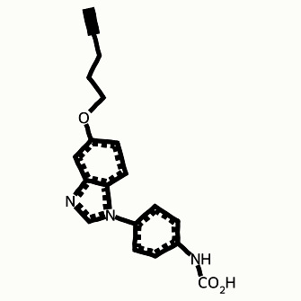 C#CCCCOc1ccc2c(c1)ncn2-c1ccc(NC(=O)O)cc1